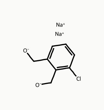 [Na+].[Na+].[O-]Cc1cccc(Cl)c1C[O-]